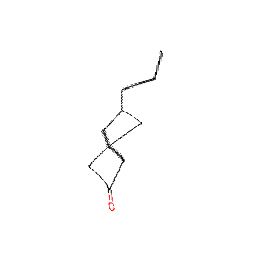 CCCC1CC2(CC(=O)C2)C1